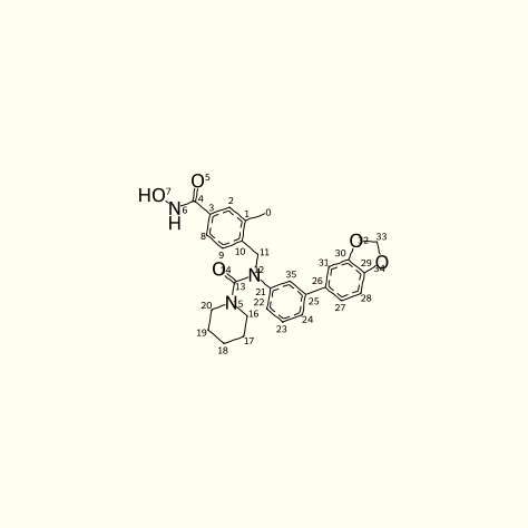 Cc1cc(C(=O)NO)ccc1CN(C(=O)N1CCCCC1)c1cccc(-c2ccc3c(c2)OCO3)c1